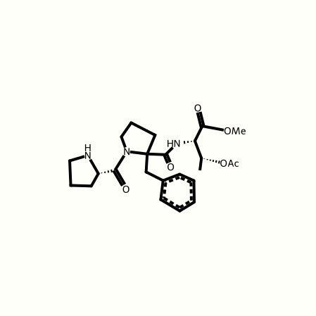 COC(=O)[C@@H](NC(=O)C1(Cc2ccccc2)CCCN1C(=O)[C@@H]1CCCN1)[C@@H](C)OC(C)=O